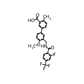 COc1ccc(-c2ccc(C)c(C(=O)O)c2)cc1CNC(=O)c1ccc(C(F)(F)F)cc1F